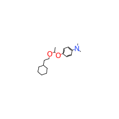 CC(OCCC1CCCCC1)Oc1ccc(N(C)C)cc1